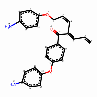 C=C/C=C(\C=C/COc1ccc(N)cc1)C(=O)c1ccc(Oc2ccc(N)cc2)cc1